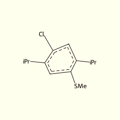 CSc1cc(C(C)C)c(Cl)cc1C(C)C